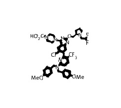 COc1ccc(CN(Cc2ccc(OC)cc2)c2ccc(C(F)(F)F)c(-c3cc4nc(OCC5CCCN5CC(F)F)nc(N5CCN(C(=O)O)CC5)c4cc3Cl)n2)cc1